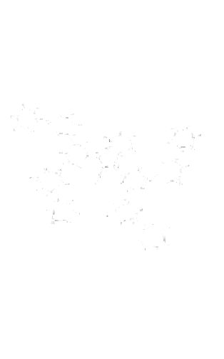 O=c1n(-c2cc(-c3cccc(C4=CC=CCC=C4)c3)cc(-c3cccc(-c4ccccc4)c3)c2)c2ccccc2n1-c1cc(-c2cccc(-c3ccccc3)c2)cc(-c2cccc(-c3ccccc3)c2)c1